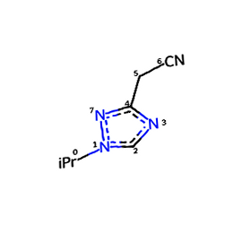 CC(C)n1cnc(CC#N)n1